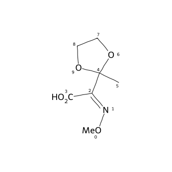 CON=C(C(=O)O)C1(C)OCCO1